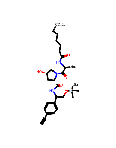 C#Cc1ccc(C(CO[Si](C)(C)C(C)(C)C)NC(=O)[C@@H]2C[C@@H](O)CN2C(=O)C(NC(=O)CCCCCC(=O)OCC)C(C)(C)C)cc1